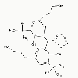 CCC(C)(C)c1cc(CCCO)cc(C(c2cccs2)c2cc(CCCO)cc(C(C)(C)CC)c2O)c1O